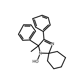 CC1(c2ccccc2)C(c2ccccc2)=NC2(CCCCC2)N1O